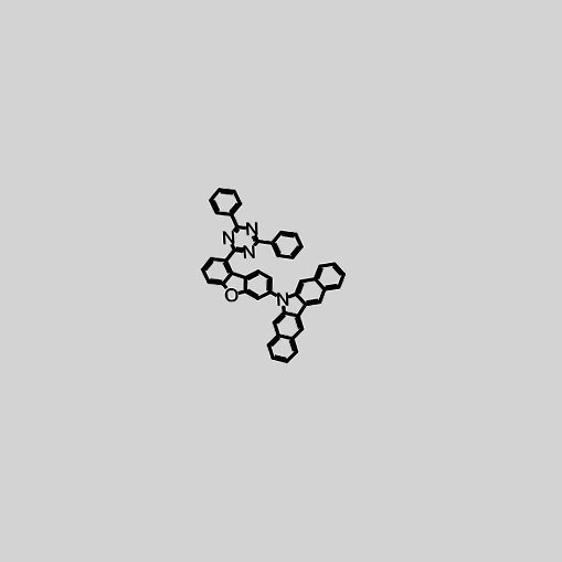 c1ccc(-c2nc(-c3ccccc3)nc(-c3cccc4oc5cc(-n6c7cc8ccccc8cc7c7cc8ccccc8cc76)ccc5c34)n2)cc1